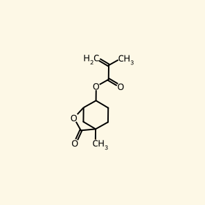 C=C(C)C(=O)OC1CCC2(C)CC1OC2=O